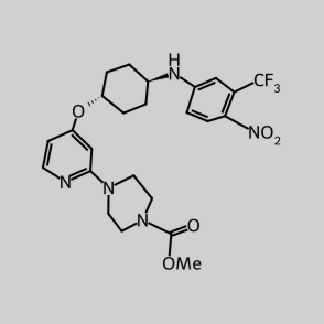 COC(=O)N1CCN(c2cc(O[C@H]3CC[C@H](Nc4ccc([N+](=O)[O-])c(C(F)(F)F)c4)CC3)ccn2)CC1